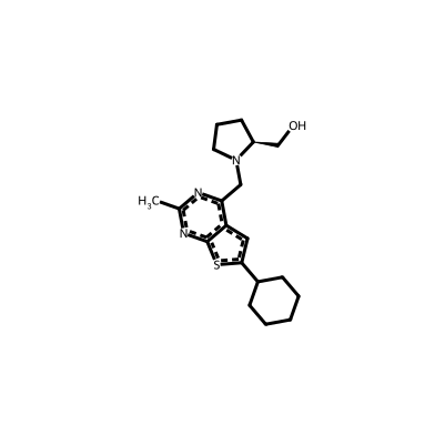 Cc1nc(CN2CCC[C@H]2CO)c2cc(C3CCCCC3)sc2n1